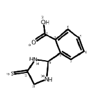 O=C(O)c1ccccc1C1NCC(=S)N1